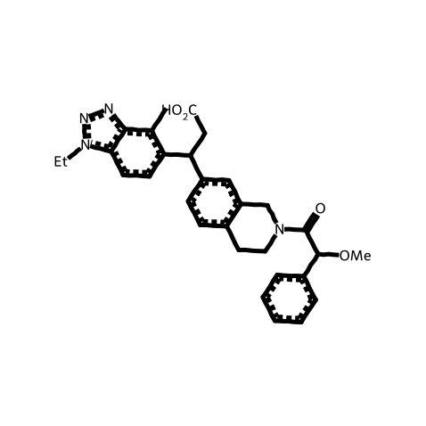 CCn1nnc2c(C)c(C(CC(=O)O)c3ccc4c(c3)CN(C(=O)C(OC)c3ccccc3)CC4)ccc21